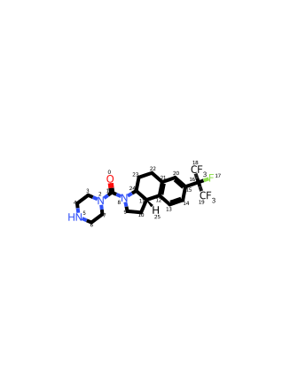 O=C(N1CCNCC1)N1CC[C@H]2c3ccc(C(F)(C(F)(F)F)C(F)(F)F)cc3CCC21